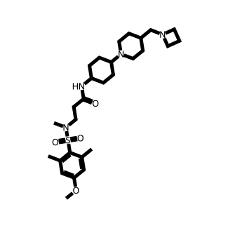 COc1cc(C)c(S(=O)(=O)N(C)CCC(=O)NC2CCC(N3CCC(CN4CCC4)CC3)CC2)c(C)c1